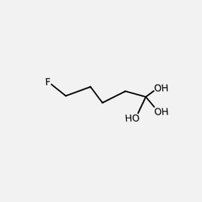 OC(O)(O)CCCCF